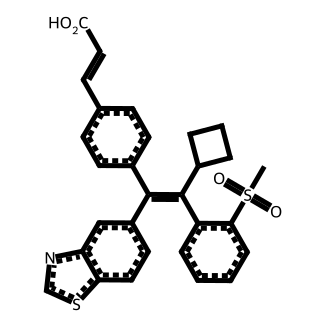 CS(=O)(=O)c1ccccc1C(=C(c1ccc(C=CC(=O)O)cc1)c1ccc2scnc2c1)C1CCC1